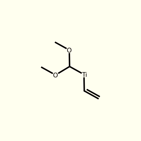 C=[CH][Ti][CH](OC)OC